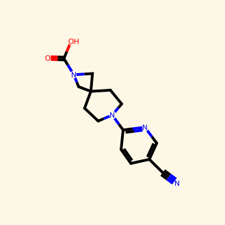 N#Cc1ccc(N2CCC3(CC2)CN(C(=O)O)C3)nc1